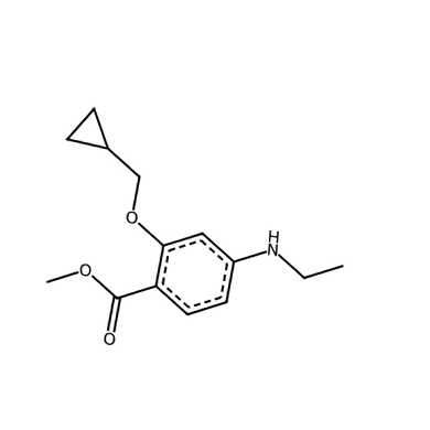 CCNc1ccc(C(=O)OC)c(OCC2CC2)c1